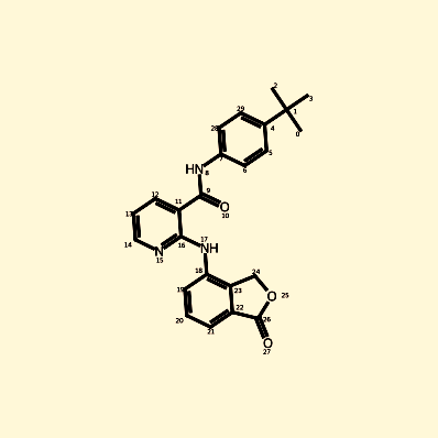 CC(C)(C)c1ccc(NC(=O)c2cccnc2Nc2cccc3c2COC3=O)cc1